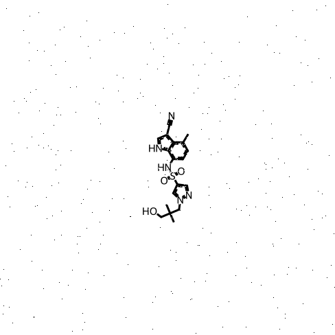 Cc1ccc(NS(=O)(=O)c2cnn(CC(C)(C)CO)c2)c2[nH]cc(C#N)c12